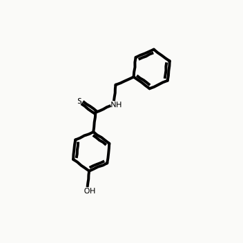 Oc1ccc(C(=S)NCc2ccccc2)cc1